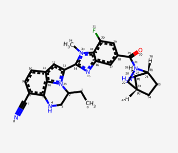 CCC1CNc2c(C#N)ccc3cc(-c4nc5cc(C(=O)N6C[C@H]7CC[C@@H]6[C@@H]7N)cc(F)c5n4C)n1c23